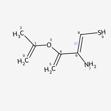 C=C(C)OC(=C)/C(N)=C/S